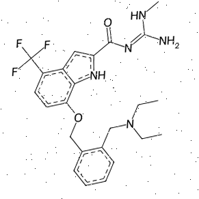 CCN(CC)Cc1ccccc1COc1ccc(C(F)(F)F)c2cc(C(=O)N=C(N)NC)[nH]c12